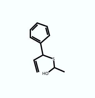 C=CC(SC(C)O)c1ccccc1